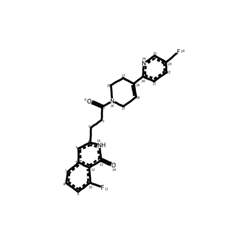 O=C(CCc1cc2cccc(F)c2c(=O)[nH]1)N1CC=C(c2ccc(F)cn2)CC1